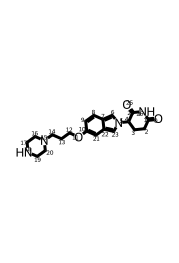 O=C1CCC(n2cc3ccc(OCCCN4CCNCC4)cc3c2)C(=O)N1